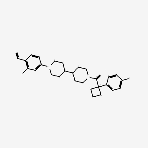 O=Cc1ccc(N2CCC(C3CCN(C(=O)C4(c5ccc(F)cc5)CCC4)CC3)CC2)cc1Cl